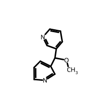 COC(c1cccnc1)c1cccnc1